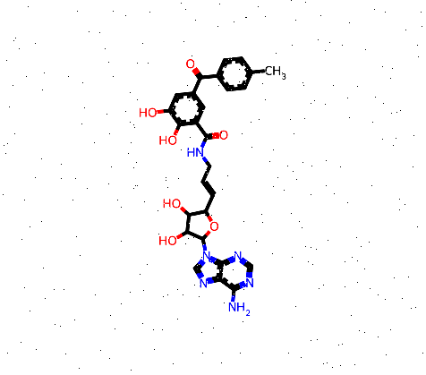 Cc1ccc(C(=O)c2cc(O)c(O)c(C(=O)NC/C=C/C3OC(n4cnc5c(N)ncnc54)C(O)C3O)c2)cc1